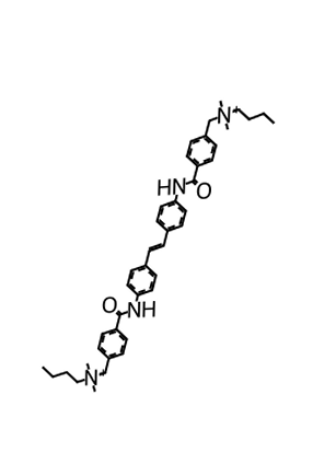 CCCC[N+](C)(C)Cc1ccc(C(=O)Nc2ccc(/C=C/c3ccc(NC(=O)c4ccc(C[N+](C)(C)CCCC)cc4)cc3)cc2)cc1